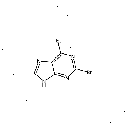 CCc1nc(Br)nc2[nH]cnc12